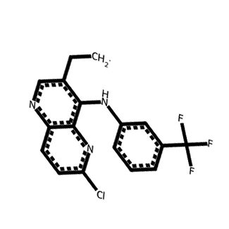 [CH2]Cc1cnc2ccc(Cl)nc2c1Nc1cccc(C(F)(F)F)c1